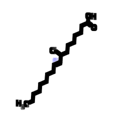 CCCCCCCC/C=C/C(Cl)CCCCCCC(=O)O